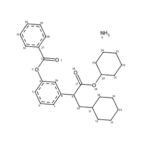 N.O=C(Oc1cccc(C(CC2CCCCC2)C(=O)OC2CCCCC2)c1)c1ccccc1